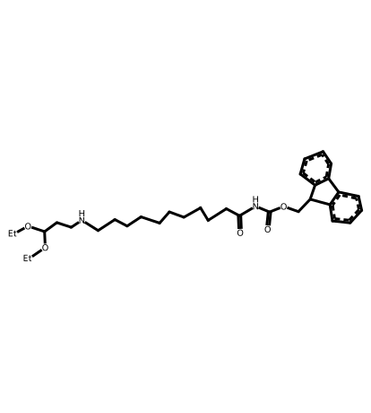 CCOC(CCNCCCCCCCCCCC(=O)NC(=O)OCC1c2ccccc2-c2ccccc21)OCC